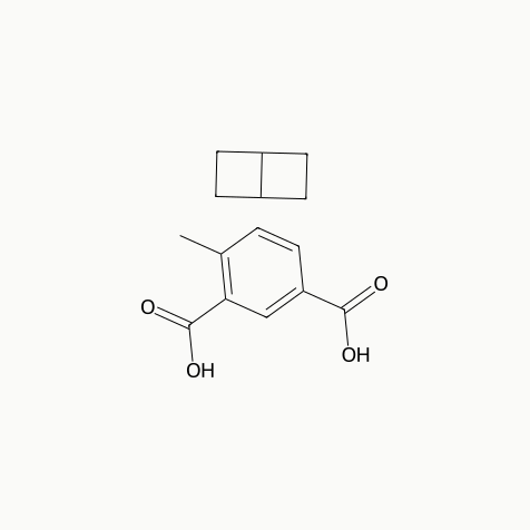 C1CC2CCC12.Cc1ccc(C(=O)O)cc1C(=O)O